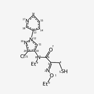 CCON=C(CS)C(=O)N(CC)c1cn(-c2cccnc2)nc1Cl